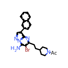 CC(=O)N1CCC(CCc2nc3c(-c4ccc5ccccc5c4)cnn3c(N)c2Br)CC1